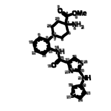 COC(=O)C1(N)CCN(c2ccccc2NC(=O)c2csc(Nc3ccsc3)n2)CC1